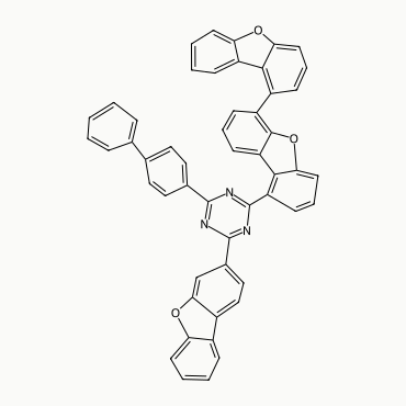 c1ccc(-c2ccc(-c3nc(-c4ccc5c(c4)oc4ccccc45)nc(-c4cccc5oc6c(-c7cccc8oc9ccccc9c78)cccc6c45)n3)cc2)cc1